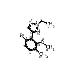 CCn1ncc(-c2c(F)ccc(C)c2OC)n1